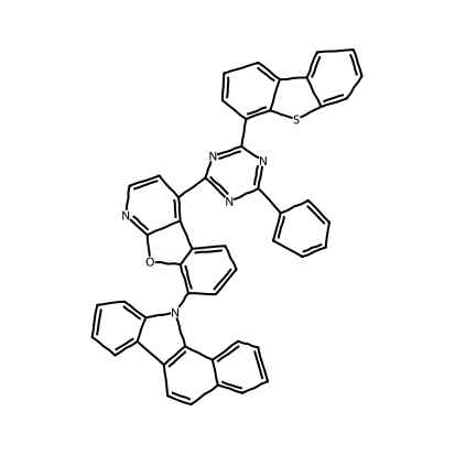 c1ccc(-c2nc(-c3cccc4c3sc3ccccc34)nc(-c3ccnc4oc5c(-n6c7ccccc7c7ccc8ccccc8c76)cccc5c34)n2)cc1